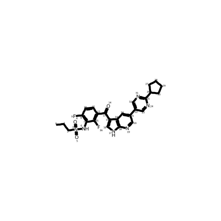 CCCS(=O)(=O)Nc1c(F)ccc(C(=O)c2c[nH]c3ncc(-c4cnc(C5CCCC5)nc4)cc23)c1F